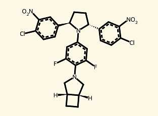 O=[N+]([O-])c1cc([C@H]2CC[C@H](c3ccc(Cl)c([N+](=O)[O-])c3)N2c2cc(F)c(N3C[C@H]4CC[C@H]4C3)c(F)c2)ccc1Cl